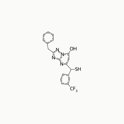 Oc1cc(C(S)c2cccc(C(F)(F)F)c2)nc2nc(Cc3ccccc3)nn12